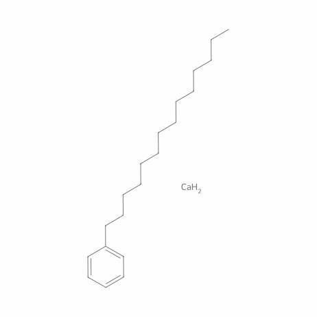 CCCCCCCCCCCCCCc1ccccc1.[CaH2]